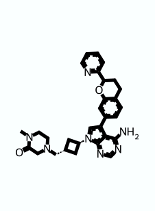 CN1CCN(C[C@H]2C[C@@H](n3cc(-c4ccc5c(c4)OC(c4ccccn4)CC5)c4c(N)ncnc43)C2)CC1=O